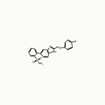 NS(=O)(=O)c1ccccc1-c1ccc2[nH]c(COc3ccc(F)cc3)nc2c1